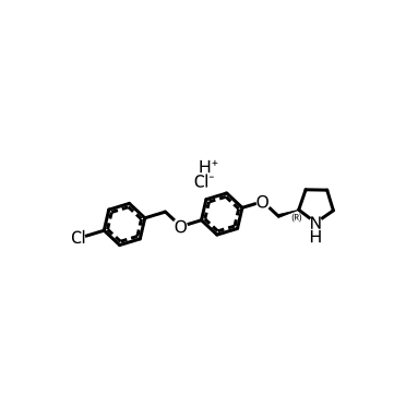 Clc1ccc(COc2ccc(OC[C@H]3CCCN3)cc2)cc1.[Cl-].[H+]